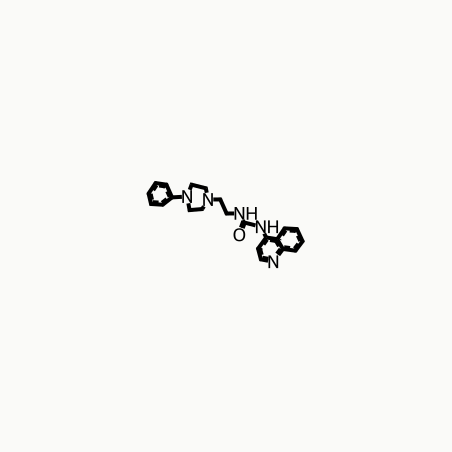 O=C(NCCN1CCN(c2ccccc2)CC1)Nc1ccnc2ccccc12